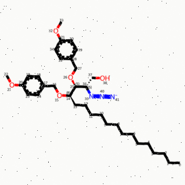 CCCCCCCCCCCCCC[C@@H](OCc1ccc(OC)cc1)[C@@H](OCc1ccc(OC)cc1)[C@H](CO)N=[N+]=[N-]